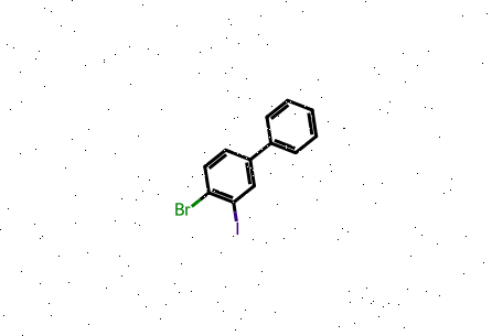 Brc1ccc(-c2ccccc2)cc1I